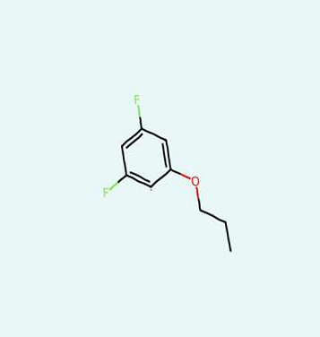 CCCOc1[c]c(F)cc(F)c1